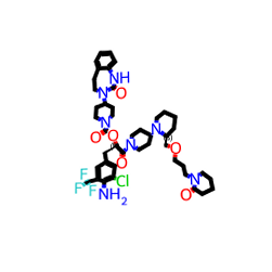 Nc1c(Cl)cc(C[C@@H](OC(=O)N2CCC(N3CCc4ccccc4NC3=O)CC2)C(=O)N2CCC(N3CCCC[C@H]3COCCCN3CCCCC3=O)CC2)cc1C(F)(F)F